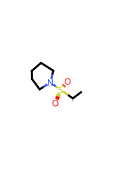 C[CH]S(=O)(=O)N1CCCCC1